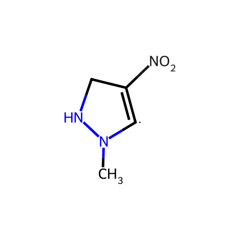 CN1[C]=C([N+](=O)[O-])CN1